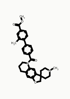 COC(=O)c1ccc(-c2ccc(C(=O)N3CCCc4cc5c(cc43)C3(CCN(C)CC3)CO5)cc2)c(C)c1